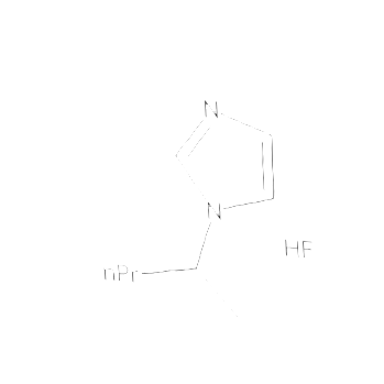 CCCC(C)n1ccnc1.F